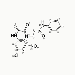 O=C(CCn1c(=O)c(=O)[nH]c2cc(Cl)nc([N+](=O)[O-])c21)Nc1ccccc1